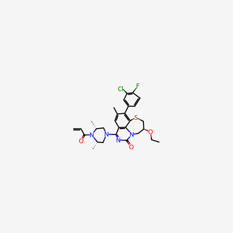 C=CC(=O)N1[C@H](C)CN(c2nc(=O)n3c4c(c(-c5ccc(F)c(Cl)c5)c(C)cc24)SC[C@@H](OCC)C3)C[C@@H]1C